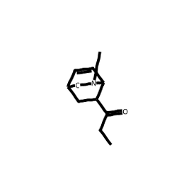 CCC(=O)C1CC2C=CC1N(C)C2